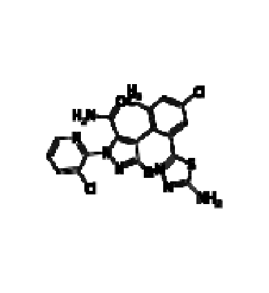 Cc1cc(Cl)cc(-c2nnc(N)s2)c1-c1c(Br)nn(-c2ncccc2Cl)c1C(N)=O